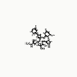 CNC(=O)CC(C)(C)[C@H](c1nc(-c2cc(F)ccc2F)cn1Cc1cc(O)cc(F)c1)N(C[C@@H]1CNC[C@@H]1F)C(=O)[C@H](C)O